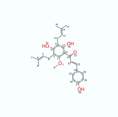 COc1c(CC=C(C)C)c(O)c(CC=C(C)C)c(O)c1C(=O)/C=C/c1ccc(O)cc1